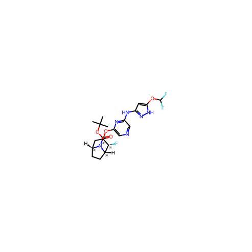 CC(C)(C)OC(=O)N1[C@@H]2CC[C@H]1[C@H](F)[C@H](Oc1cncc(Nc3cc(OC(F)F)[nH]n3)n1)C2